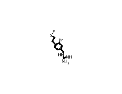 N=C(N)NCc1ccc(CCSF)c(Br)c1